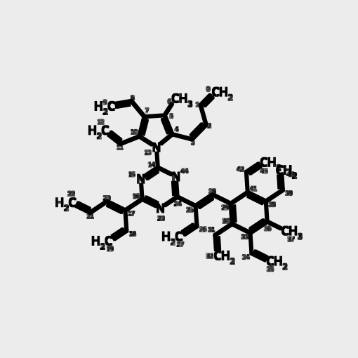 C=C/C=C\c1c(C)c(C=C)c(C=C)n1-c1nc(/C(C=C)=C/C=C)nc(/C(C=C)=C/c2c(C=C)c(C=C)c(C)c(C=C)c2C=C)n1